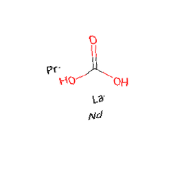 O=C(O)O.[La].[Nd].[Pr]